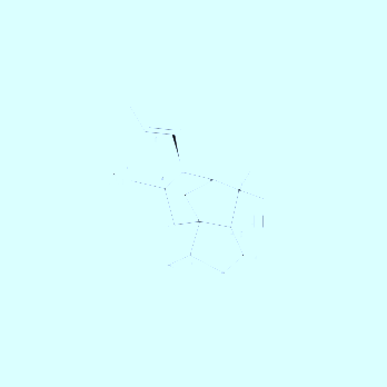 C/C=C/[C@@H]1C(C(C)=O)CC23CC1C(C)(C)[C@H]2CCC3C